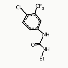 CCNC(=O)Nc1ccc(Cl)c(C(F)(F)F)c1